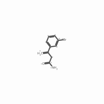 C=C(CC(N)=O)c1cccc(Br)c1